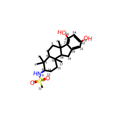 CC12CCC3C(C)(C)C(NS(C)(=O)=O)CCC3(C)C1Cc1cc(O)cc(O)c12